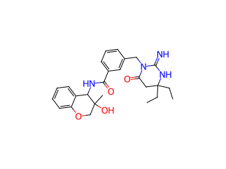 CCC1(CC)CC(=O)N(Cc2cccc(C(=O)NC3c4ccccc4OCC3(C)O)c2)C(=N)N1